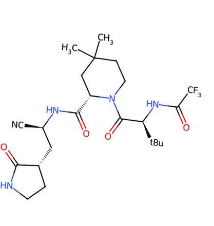 CC1(C)CCN(C(=O)[C@@H](NC(=O)C(F)(F)F)C(C)(C)C)[C@H](C(=O)N[C@H](C#N)C[C@@H]2CCNC2=O)C1